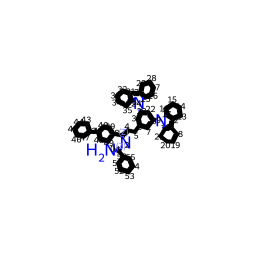 N/C(=N\C(=C/Cc1cc(-n2c3c(c4ccccc42)C=CCC3)cc(-n2c3ccccc3c3ccccc32)c1)c1ccc(-c2ccccc2)cc1)c1ccccc1